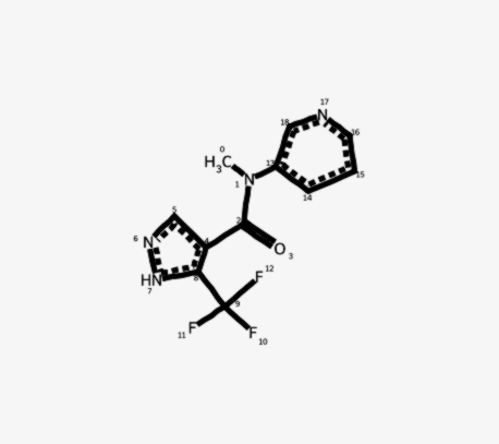 CN(C(=O)c1cn[nH]c1C(F)(F)F)c1cccnc1